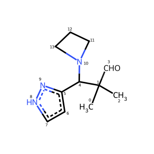 CC(C)(C=O)C(c1cc[nH]n1)N1CCC1